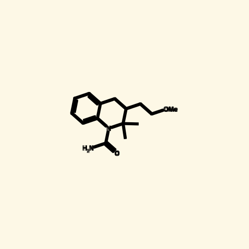 COCCC1Cc2ccccc2N(C(N)=O)C1(C)C